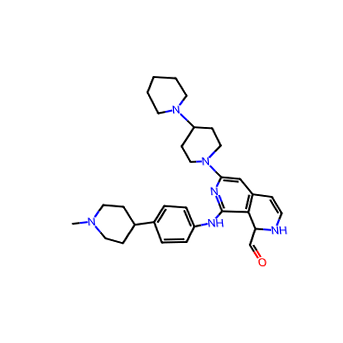 CN1CCC(c2ccc(Nc3nc(N4CCC(N5CCCCC5)CC4)cc4c3C(C=O)NC=C4)cc2)CC1